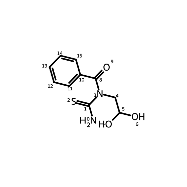 NC(=S)N(CC(O)O)C(=O)c1ccccc1